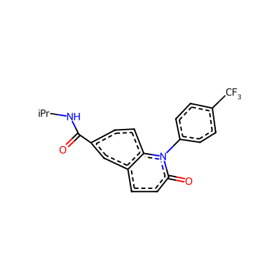 CC(C)NC(=O)c1ccc2c(ccc(=O)n2-c2ccc(C(F)(F)F)cc2)c1